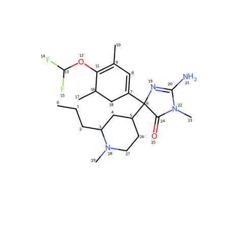 CCCC1CC(C2(C3=CC(C)=C(OC(F)F)C(C)C3)N=C(N)N(C)C2=O)CCN1C